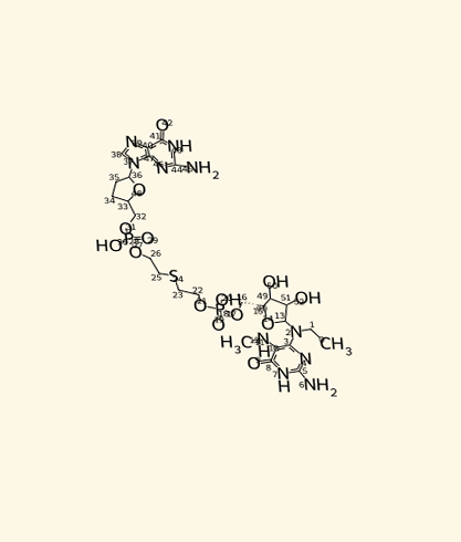 CCN(c1nc(N)[nH]c(=O)c1NC)C1O[C@H](COP(=O)(O)OCCSCCOP(=O)(O)OCC2CCC(n3cnc4c(=O)[nH]c(N)nc43)O2)C(O)C1O